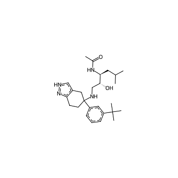 CC(=O)N[C@@H](CC(C)C)[C@H](O)CNC1(c2cccc(C(C)(C)C)c2)CCc2n[nH]cc2C1